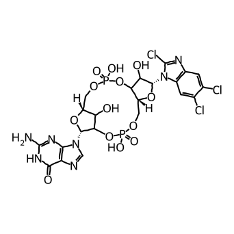 Nc1nc2c(ncn2[C@@H]2O[C@@H]3COP(=O)(O)OC4C(O)[C@H](n5c(Cl)nc6cc(Cl)c(Cl)cc65)O[C@@H]4COP(=O)(O)OC2C3O)c(=O)[nH]1